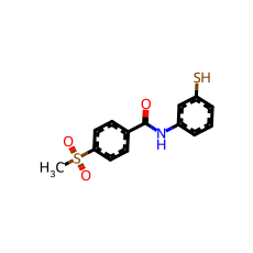 CS(=O)(=O)c1ccc(C(=O)Nc2cccc(S)c2)cc1